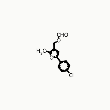 Cc1oc(-c2ccc(Cl)cc2)cc1COC=O